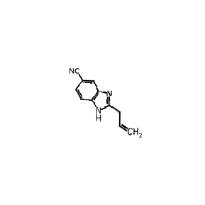 C=CCc1nc2cc(C#N)ccc2[nH]1